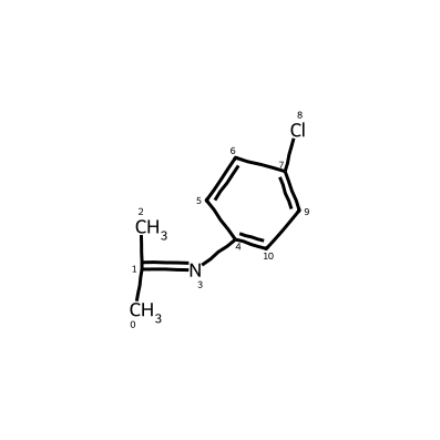 CC(C)=Nc1ccc(Cl)cc1